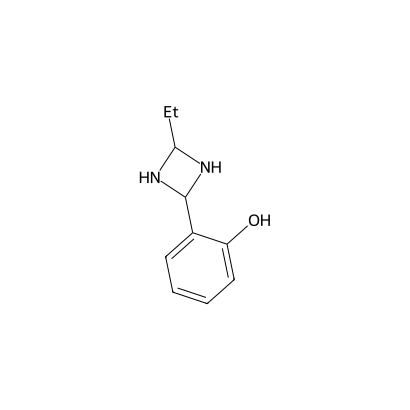 CCC1NC(c2ccccc2O)N1